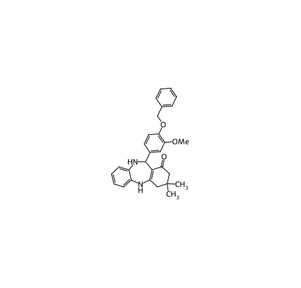 COc1cc(C2Nc3ccccc3NC3=C2C(=O)CC(C)(C)C3)ccc1OCc1ccccc1